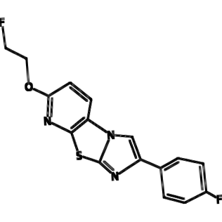 FCCOc1ccc2c(n1)sc1nc(-c3ccc(F)cc3)cn12